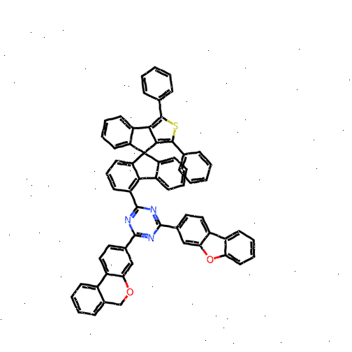 c1ccc(-c2sc(-c3ccccc3)c3c2-c2ccccc2C32c3ccccc3-c3c(-c4nc(-c5ccc6c(c5)OCc5ccccc5-6)nc(-c5ccc6c(c5)oc5ccccc56)n4)cccc32)cc1